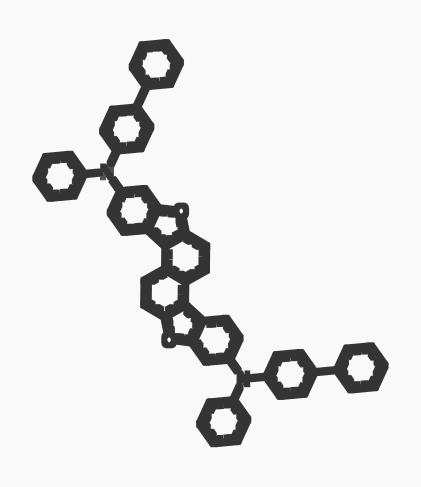 c1ccc(-c2ccc(N(c3ccccc3)c3ccc4c(c3)oc3ccc5c(ccc6oc7cc(N(c8ccccc8)c8ccc(-c9ccccc9)cc8)ccc7c65)c34)cc2)cc1